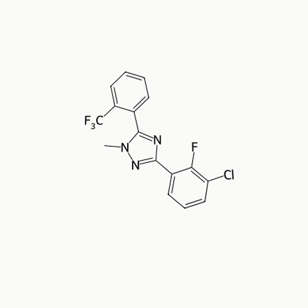 Cn1nc(-c2cccc(Cl)c2F)nc1-c1ccccc1C(F)(F)F